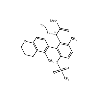 COC(=O)[C@@H](OC(C)(C)C)c1c(C)ccc(OS(=O)(=O)C(F)(F)F)c1-c1ccc2c(c1C)CCCO2